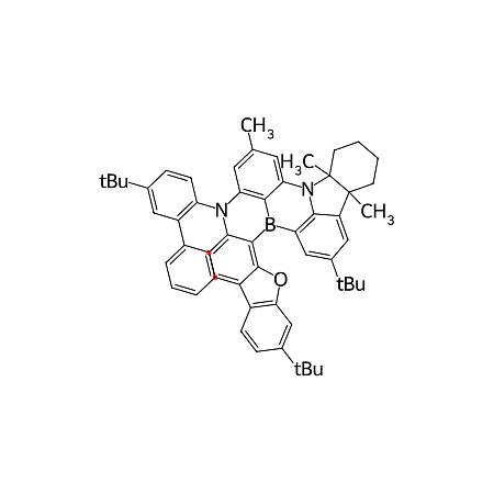 Cc1cc2c3c(c1)N1c4c(cc(C(C)(C)C)cc4C4(C)CCCCC14C)B3c1c(ccc3c1oc1cc(C(C)(C)C)ccc13)N2c1ccc(C(C)(C)C)cc1-c1ccccc1